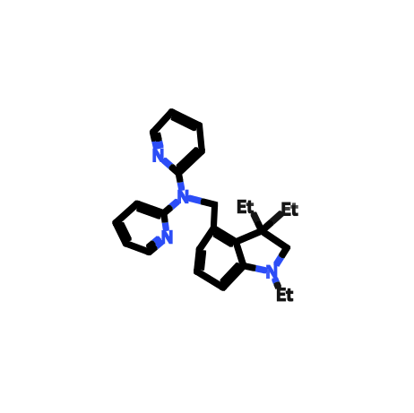 CCN1CC(CC)(CC)c2c(CN(c3ccccn3)c3ccccn3)cccc21